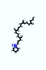 CCCC(C)CCCC(C)CCCCC(C)CCCC(C)CCCNN1CCCCC1